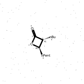 CCCCC[C@H]1OC(=O)[C@@H]1CCCC